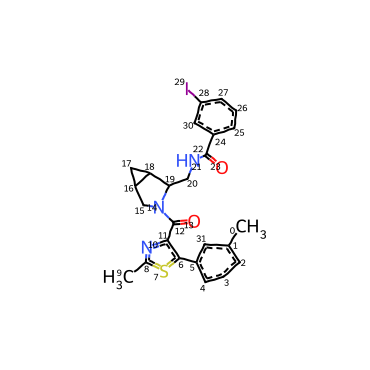 Cc1cccc(-c2sc(C)nc2C(=O)N2CC3CC3C2CNC(=O)c2cccc(I)c2)c1